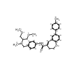 COCC(COC)N(C)Cc1ccc(NC(=O)C2=Cc3cc(-c4ccc(C)cc4)ccc3OCC2)cc1